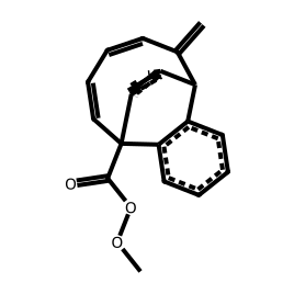 C=C1/C=C\C=C/C2(C(=O)OOC)c3ccccc3C1c1ccccc12